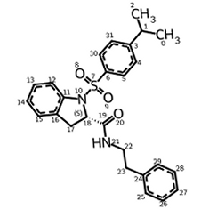 CC(C)c1ccc(S(=O)(=O)N2c3ccccc3C[C@H]2C(=O)NCCc2ccccc2)cc1